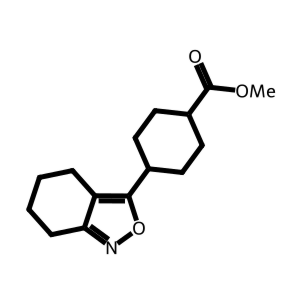 COC(=O)C1CCC(c2onc3c2CCCC3)CC1